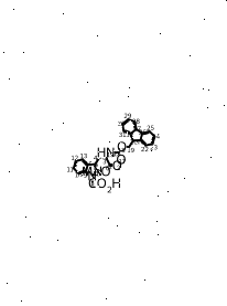 COC(=O)[C@H](Cc1nn(C(=O)O)c2ccccc12)NC(=O)OCC1c2ccccc2-c2ccccc21